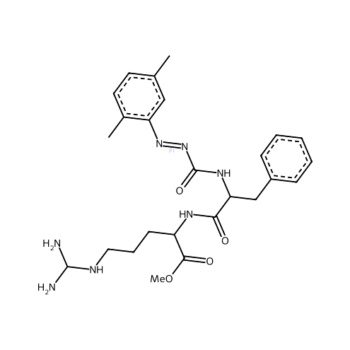 COC(=O)C(CCCNC(N)N)NC(=O)C(Cc1ccccc1)NC(=O)/N=N/c1cc(C)ccc1C